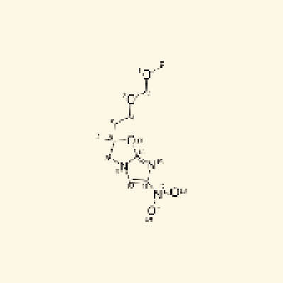 COCOCCC1(C)Cn2cc([N+](=O)[O-])nc2O1